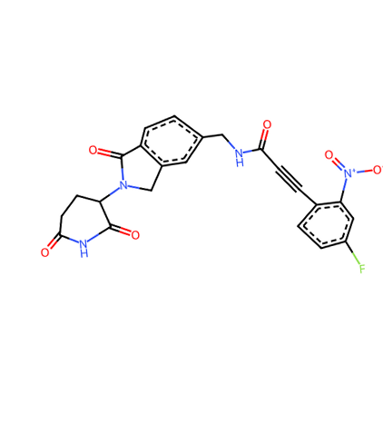 O=C(C#Cc1ccc(F)cc1[N+](=O)[O-])NCc1ccc2c(c1)CN(C1CCC(=O)NC1=O)C2=O